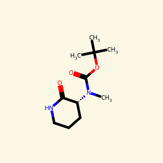 CN(C(=O)OC(C)(C)C)[C@@H]1CCCNC1=O